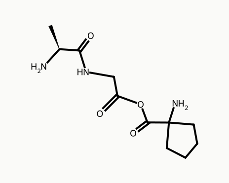 C[C@H](N)C(=O)NCC(=O)OC(=O)C1(N)CCCC1